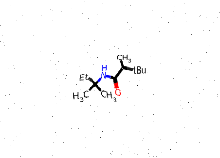 CCC(C)(C)NC(=O)C(C)C(C)(C)C